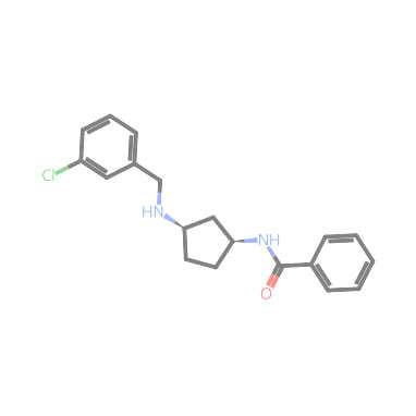 O=C(N[C@H]1CC[C@@H](NCc2cccc(Cl)c2)C1)c1ccccc1